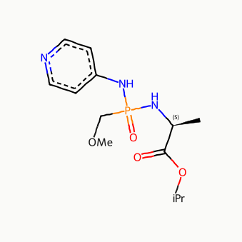 COCP(=O)(Nc1ccncc1)N[C@@H](C)C(=O)OC(C)C